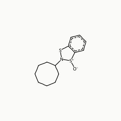 [O-][S+]1c2ccccc2SN1C1CCCCCCC1